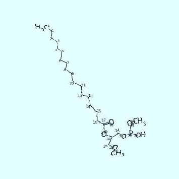 CCCCCCCCCCCCCCCCCC(=O)OC(COC)COP(O)OC